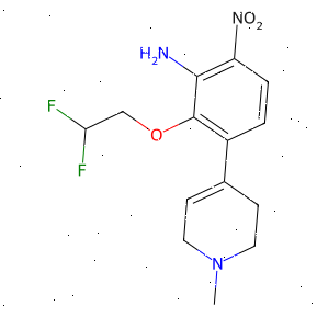 CN1CC=C(c2ccc([N+](=O)[O-])c(N)c2OCC(F)F)CC1